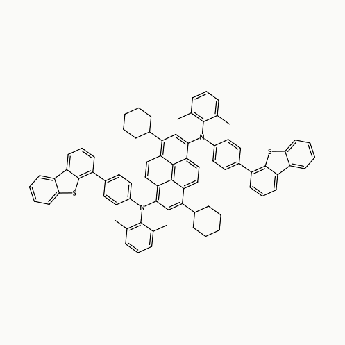 Cc1cccc(C)c1N(c1ccc(-c2cccc3c2sc2ccccc23)cc1)c1cc(C2CCCCC2)c2ccc3c(N(c4ccc(-c5cccc6c5sc5ccccc56)cc4)c4c(C)cccc4C)cc(C4CCCCC4)c4ccc1c2c43